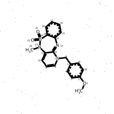 COc1ccc(CN2C=CC=C3C2=Nc2ccccc2S(=O)(=O)N3C)cc1